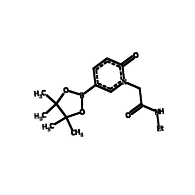 CCNC(=O)Cn1cc(B2OC(C)(C)C(C)(C)O2)ccc1=O